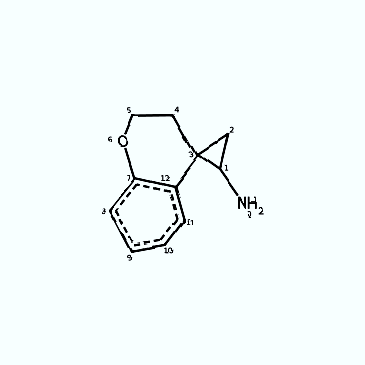 NC1CC12CCOc1ccccc12